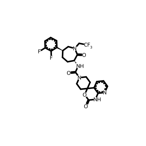 O=C1Nc2ncccc2C2(CCN(C(=O)N[C@@H]3CC[C@@H](c4cccc(F)c4F)CN(CC(F)(F)F)C3=O)CC2)O1